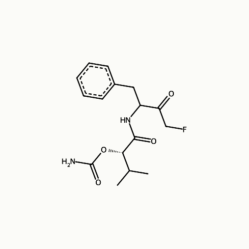 CC(C)[C@H](OC(N)=O)C(=O)NC(Cc1ccccc1)C(=O)CF